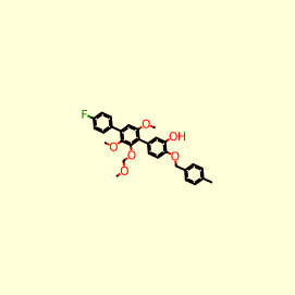 COCOc1c(OC)c(-c2ccc(F)cc2)cc(OC)c1-c1ccc(OCc2ccc(C)cc2)c(O)c1